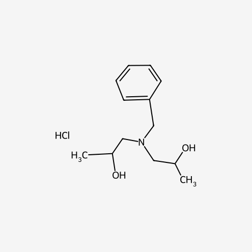 CC(O)CN(Cc1ccccc1)CC(C)O.Cl